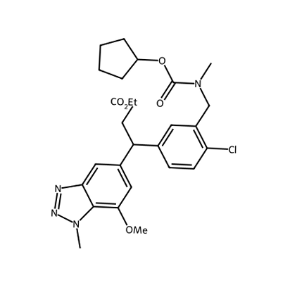 CCOC(=O)CC(c1ccc(Cl)c(CN(C)C(=O)OC2CCCC2)c1)c1cc(OC)c2c(c1)nnn2C